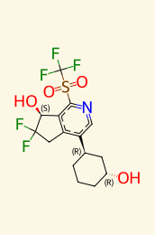 O=S(=O)(c1ncc([C@@H]2CCC[C@@H](O)C2)c2c1[C@H](O)C(F)(F)C2)C(F)(F)F